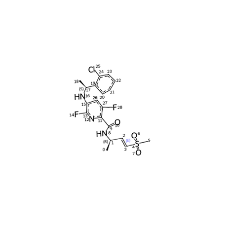 C[C@H](/C=C/S(C)(=O)=O)NC(=O)c1nc(F)c(N[C@@H](C)c2ccccc2Cl)cc1F